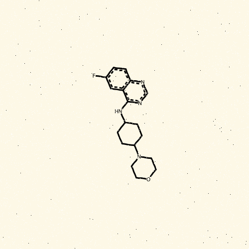 Fc1ccc2ncnc(NC3CCC(N4CCOCC4)CC3)c2c1